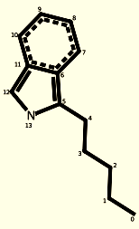 CCCCCC1=c2ccccc2=C[N]1